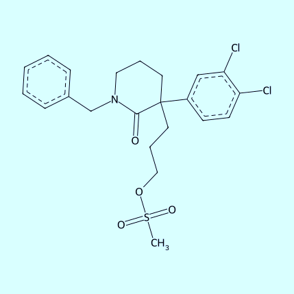 CS(=O)(=O)OCCCC1(c2ccc(Cl)c(Cl)c2)CCCN(Cc2ccccc2)C1=O